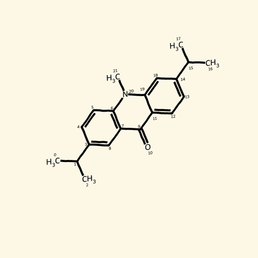 CC(C)c1ccc2c(c1)c(=O)c1ccc(C(C)C)cc1n2C